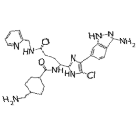 NCC1CCC(C(=O)NC(CCC(=O)NCc2ccccn2)c2nc(-c3ccc4c(N)n[nH]c4c3)c(Cl)[nH]2)CC1